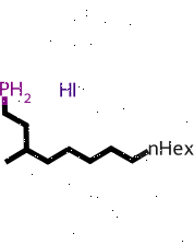 CCCCCCCCCCCC(C)CCP.I